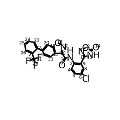 O=C(Nc1ccc(Cl)cc1-c1noc(=O)[nH]1)c1noc2cc(-c3ccccc3C(F)(F)F)ccc12